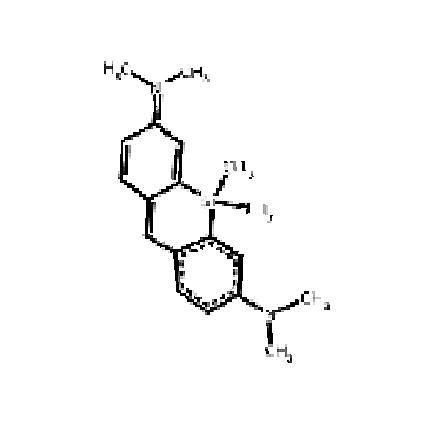 CN(C)c1ccc2c(c1)[Si](C)(C)C1=CC(=[N+](C)C)C=CC1=C2